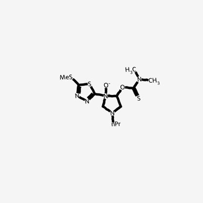 CCCN1CC(OC(=S)N(C)C)[N+]([O-])(c2nnc(SC)s2)C1